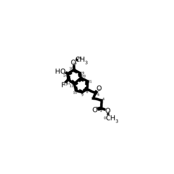 COC(=O)CCC(=O)c1ccc2c(F)c(O)c(OC)cc2c1